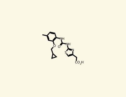 Cc1ccc(NC(=O)Nc2nc(CC(=O)O)cs2)c(OCC2CC2)c1